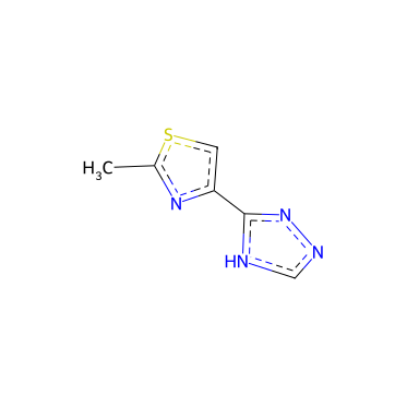 Cc1nc(-c2nnc[nH]2)cs1